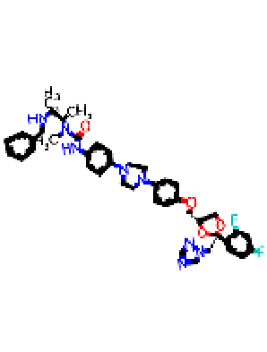 CC([C@H](C)NCc1ccccc1)N(C)C(=O)Nc1ccc(N2CCN(c3ccc(OC[C@@H]4CO[C@@](Cn5cncn5)(c5ccc(F)cc5F)O4)cc3)CC2)cc1